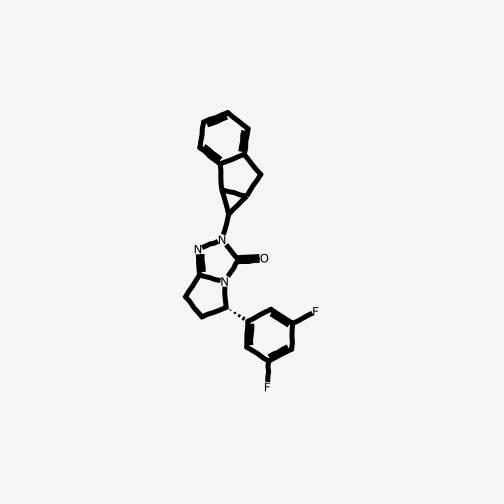 O=c1n(C2C3Cc4ccccc4C32)nc2n1[C@H](c1cc(F)cc(F)c1)CC2